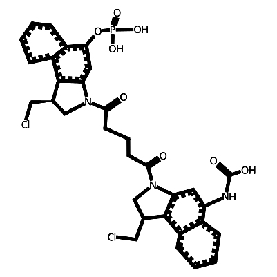 O=C(O)Nc1cc2c(c3ccccc13)C(CCl)CN2C(=O)CCCC(=O)N1C[C@@H](CCl)c2c1cc(OP(=O)(O)O)c1ccccc21